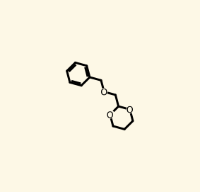 c1ccc(COCC2OCCCO2)cc1